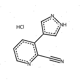 Cl.N#Cc1ncccc1-c1cn[nH]c1